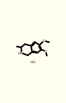 COc1cc2c(cc1OC)CC(C)NC2.Cl